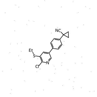 CCSc1cc(-c2ccc(C3(C#N)CC3)cc2)cnc1Cl